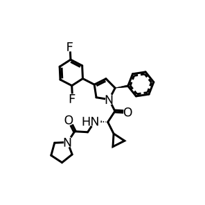 O=C(CN[C@H](C(=O)N1CC(C2C=C(F)C=CC2F)=C[C@H]1c1ccccc1)C1CC1)N1CCCC1